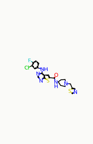 O=C(NC1CCN(Cc2cncs2)CC1)c1cc2c(Nc3ccc(F)c(Cl)c3)ncnc2s1